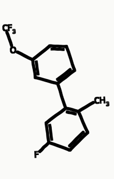 Cc1ccc(F)cc1-c1cccc(OC(F)(F)F)c1